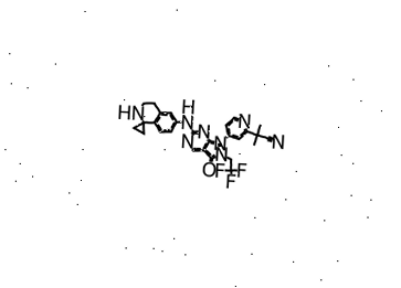 CC(C)(C#N)c1cc(-n2c3nc(Nc4ccc5c(c4)CCNC54CC4)ncc3c(=O)n2CC(F)(F)F)ccn1